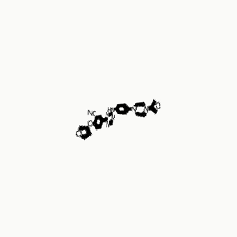 N#Cc1cc(-c2ncnc(Nc3ccc(N4CCN(C5COC5)CC4)cc3)n2)ccc1O[C@@H]1CCOC1